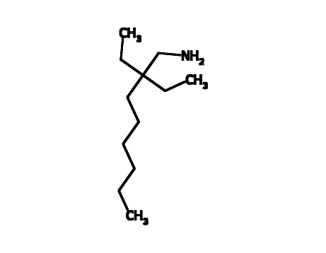 CCCCCCC(CC)(CC)CN